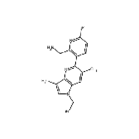 Cc1cc2c(nc1-c1ccc(C(C)C)nc1CN)c(C)cn2CC(C)C